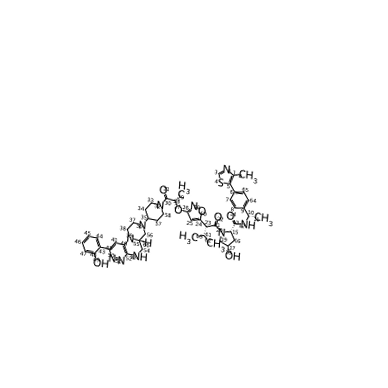 Cc1ncsc1-c1ccc([C@H](C)NC(=O)[C@@H]2C[C@@H](O)CN2C(=O)[C@@H](c2cc(O[C@@H](C)C(=O)N3CCC(N4CCN5c6cc(-c7ccccc7O)nnc6NC[C@H]5C4)CC3)no2)C(C)C)cc1